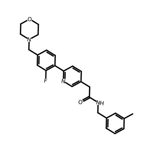 Cc1cccc(CNC(=O)Cc2ccc(-c3ccc(CN4CCOCC4)cc3F)nc2)c1